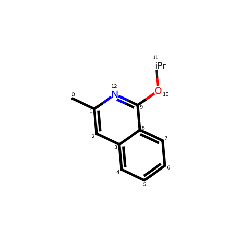 Cc1cc2ccccc2c(OC(C)C)n1